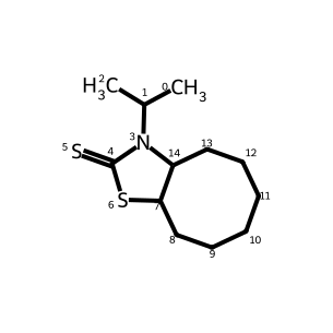 CC(C)N1C(=S)SC2CCCCCCC21